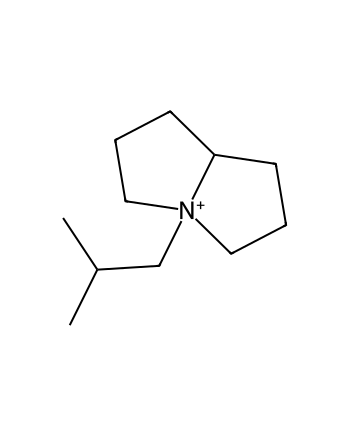 CC(C)C[N+]12CCCC1CCC2